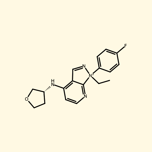 CC[N+]1(c2ccc(F)cc2)N=Cc2c(N[C@@H]3CCOC3)ccnc21